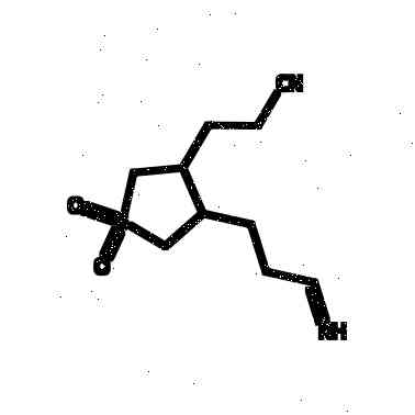 N#CCCC1CS(=O)(=O)CC1CCC=N